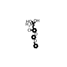 NC(CO)(CO)CCc1ccc(Oc2cccc(OCc3ccccc3)c2)cc1Cl